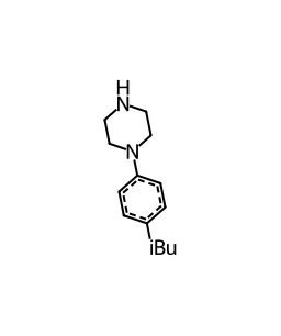 CCC(C)c1ccc(N2CCNCC2)cc1